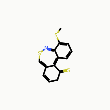 CSc1cccc2c1=NSC=C1C=CCC(=S)C=21